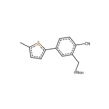 CCCCCCCCCCc1cc(-c2ccc(C)s2)ccc1C#N